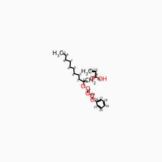 C=C(CCCCCCCCC)OOOOOc1ccccc1.C=CC(=O)O